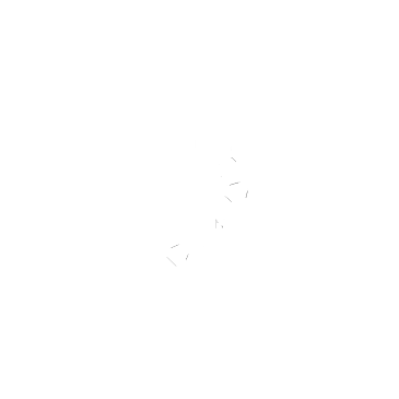 CCC(Oc1cccc(CNCCOc2ccc(F)cc2)c1)C(=O)O